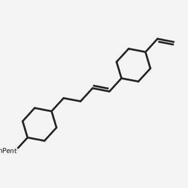 C=CC1CCC(C=CCCC2CCC(CCCCC)CC2)CC1